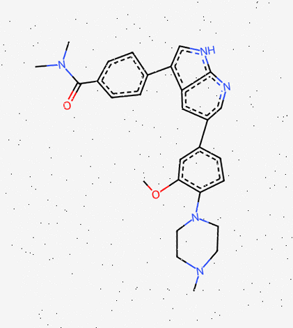 COc1cc(-c2cnc3[nH]cc(-c4ccc(C(=O)N(C)C)cc4)c3c2)ccc1N1CCN(C)CC1